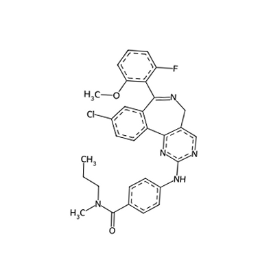 CCCN(C)C(=O)c1ccc(Nc2ncc3c(n2)-c2ccc(Cl)cc2C(c2c(F)cccc2OC)=NC3)cc1